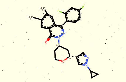 Cc1cc2c(-c3ccc(F)cc3F)nn([C@@H]3CCO[C@@H](c4cnn(C5CC5)c4)C3)c(=O)c2cc1C